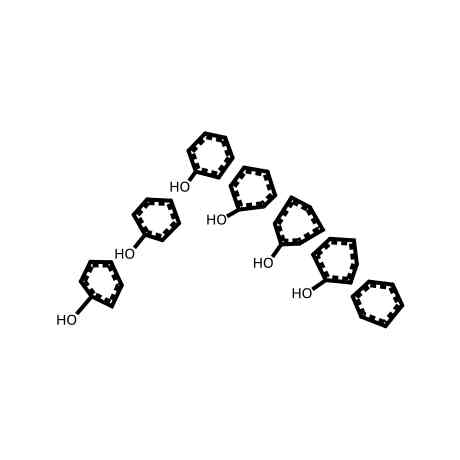 Oc1ccccc1.Oc1ccccc1.Oc1ccccc1.Oc1ccccc1.Oc1ccccc1.Oc1ccccc1.c1ccccc1